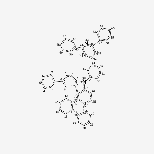 c1ccc(-c2ccc3c(c2)c2c4c5ccccc5c5ccccc5c4ccc2n3-c2cccc(-c3nc(-c4ccccc4)nc(-c4ccccc4)n3)c2)cc1